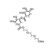 COCCOCCOCCOC(=O)c1cc(O)c(O)c(OC(=O)c2ccc(O)c(O)c2O)c1